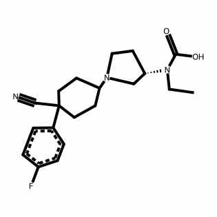 CCN(C(=O)O)[C@H]1CCN(C2CCC(C#N)(c3ccc(F)cc3)CC2)C1